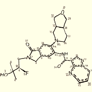 CC(C)(O)[C@H](F)CN1Cc2cc(NC(=O)c3cnn4cccnc34)c(N3CCC4COCC4C3)cc2C1=O